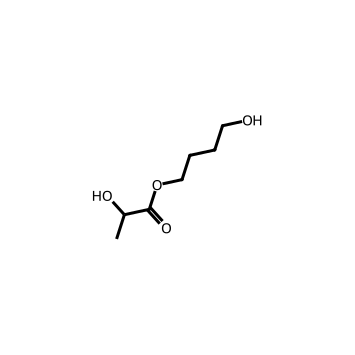 CC(O)C(=O)OCCCCO